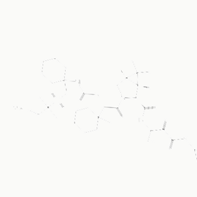 CCCC(NC(=O)[C@@H]1[C@@H]2[C@H](CN1C(=O)[C@@H](NC(=O)NC1(CS(=O)(=O)C(C)(C)COC)CCCCC1)C1(C)CCCCC1)C2(C)C)C(=O)C(=O)NC1CC1